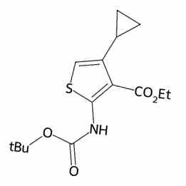 CCOC(=O)c1c(C2CC2)csc1NC(=O)OC(C)(C)C